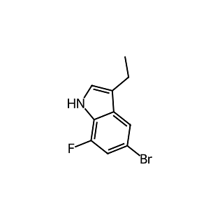 CCc1c[nH]c2c(F)cc(Br)cc12